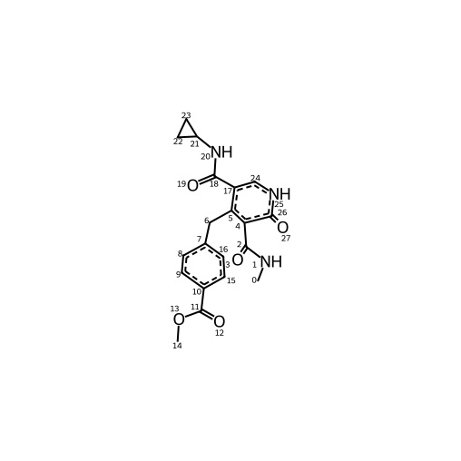 CNC(=O)c1c(Cc2ccc(C(=O)OC)cc2)c(C(=O)NC2CC2)c[nH]c1=O